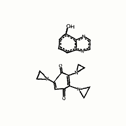 O=C1C=C(N2CC2)C(=O)C(N2CC2)=C1N1CC1.Oc1cccc2nccnc12